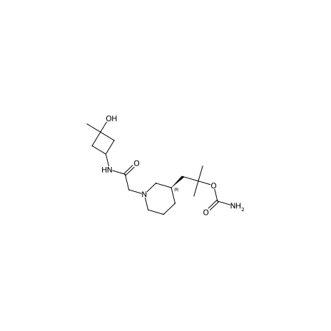 CC1(O)CC(NC(=O)CN2CCC[C@H](CC(C)(C)OC(N)=O)C2)C1